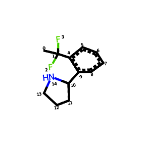 CC(F)(F)c1ccccc1C1CCCN1